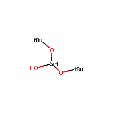 CC(C)(C)O[SiH](O)OC(C)(C)C